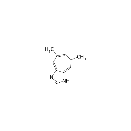 CC1=CC(C)C=c2[nH]cnc2=C1